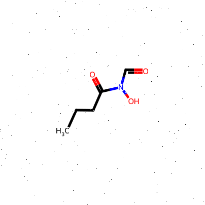 CCCC(=O)N(O)C=O